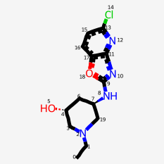 CCN1C[C@H](O)C[C@@H](Nc2nc3nc(Cl)ccc3o2)C1